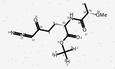 [2H]C([2H])([2H])OC(=O)[C@H](CCC(=O)C=[N+]=[N-])NC(=O)[C@H](C)OC